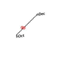 CCCCCCCC/C=C\CCCCCCCC(=O)OCCCCCCCCCCCCCCCCCCCCCCCCCCC